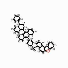 CC1(C)c2ccc(-c3c4ccccc4c(C4=CC=C(c5ccccc5)C5C=CC=CC45)c4ccccc34)cc2-c2ccc3c(ccc4oc5ccccc5c43)c21